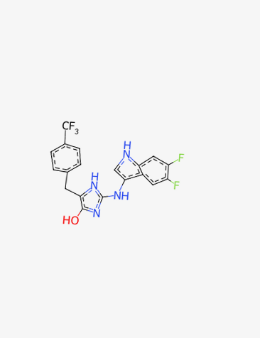 Oc1nc(Nc2c[nH]c3cc(F)c(F)cc23)[nH]c1Cc1ccc(C(F)(F)F)cc1